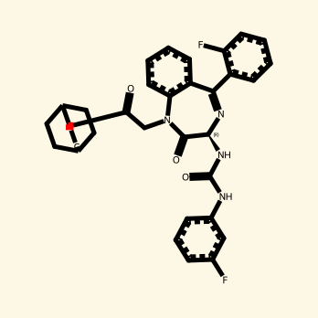 O=C(Nc1cccc(F)c1)N[C@@H]1N=C(c2ccccc2F)c2ccccc2N(CC(=O)N2CC3CCC(CC3)C2)C1=O